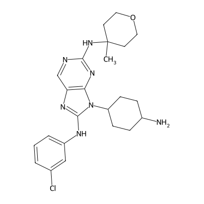 CC1(Nc2ncc3nc(Nc4cccc(Cl)c4)n(C4CCC(N)CC4)c3n2)CCOCC1